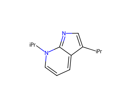 CC(C)c1cnc2n(C(C)C)cccc1-2